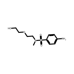 CN(CCOCCO)S(=O)(=O)c1ccc(N)cc1